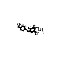 COc1c(Br)cc2cn(C3CCC(CO)CC3)nc2c1F